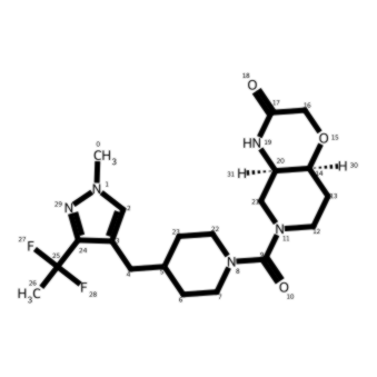 Cn1cc(CC2CCN(C(=O)N3CC[C@@H]4OCC(=O)N[C@@H]4C3)CC2)c(C(C)(F)F)n1